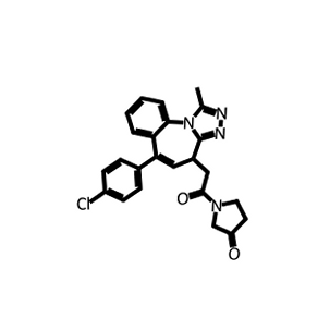 Cc1nnc2n1-c1ccccc1C(c1ccc(Cl)cc1)=CC2CC(=O)N1CCC(=O)C1